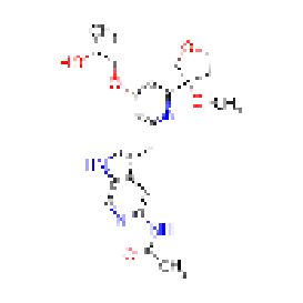 CO[C@@]1(c2cc(OC[C@@H](C)O)cc(Cc3c[nH]c4cnc(NC(C)=O)cc34)n2)CCOC1